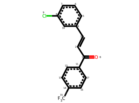 O=C(/C=C/c1cccc(Cl)c1)c1ccc(C(F)(F)F)cc1